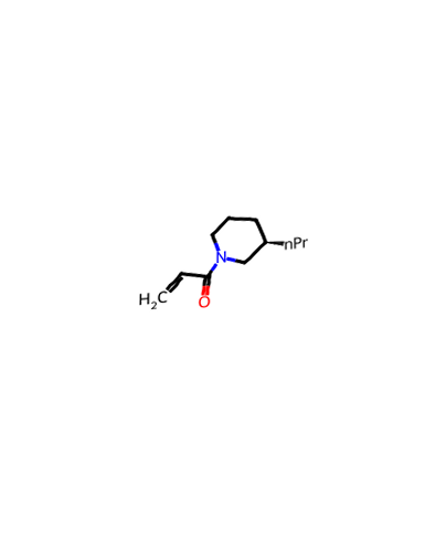 C=CC(=O)N1CCC[C@@H](CCC)C1